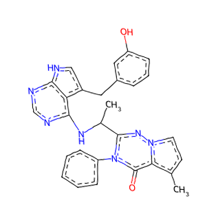 Cc1ccn2nc(C(C)Nc3ncnc4[nH]cc(Cc5cccc(O)c5)c34)n(-c3ccccc3)c(=O)c12